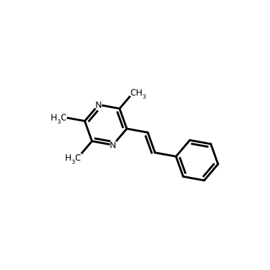 Cc1nc(C)c(C=Cc2ccccc2)nc1C